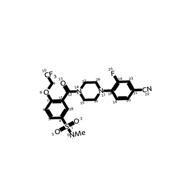 CNS(=O)(=O)c1ccc(OCC(F)(F)F)c(C(=O)N2CCN(c3ccc(C#N)cc3F)CC2)c1